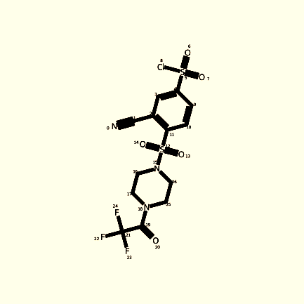 N#Cc1cc(S(=O)(=O)Cl)ccc1S(=O)(=O)N1CCN(C(=O)C(F)(F)F)CC1